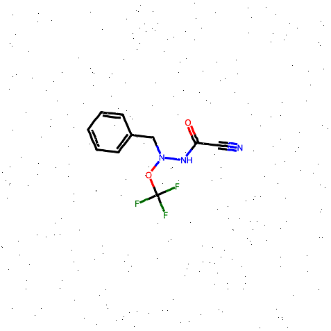 N#CC(=O)NN(Cc1ccccc1)OC(F)(F)F